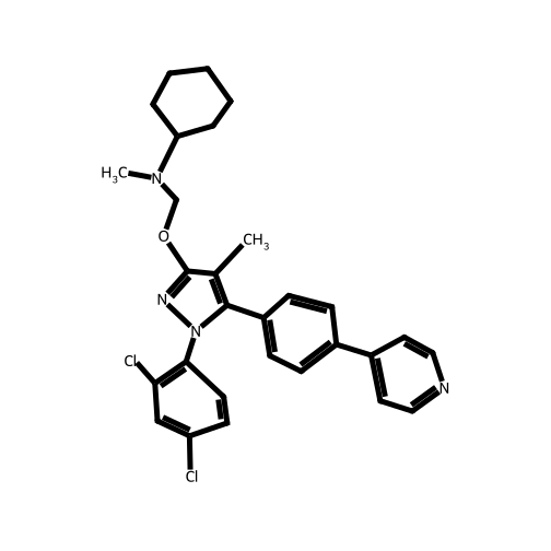 Cc1c(OCN(C)C2CCCCC2)nn(-c2ccc(Cl)cc2Cl)c1-c1ccc(-c2ccncc2)cc1